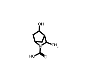 CC1C2CC(CC2O)N1C(=O)O